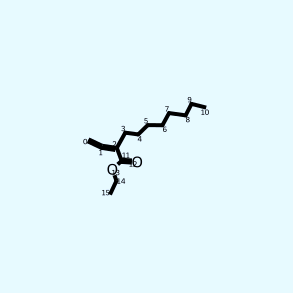 C=C=C(CCCCCCCC)C(=O)OCC